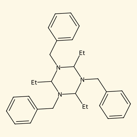 CCC1N(Cc2ccccc2)C(CC)N(Cc2ccccc2)C(CC)N1Cc1ccccc1